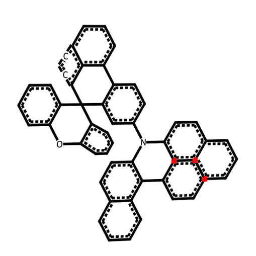 c1ccc(-c2c(N(c3ccc4c(c3)C3(c5ccccc5Oc5ccccc53)c3cccc5cccc-4c35)c3ccc4ccccc4c3)ccc3ccccc23)cc1